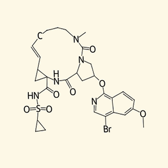 COc1ccc2c(OC3CC4C(=O)NC5(C(=O)NS(=O)(=O)C6CC6)CC5/C=C/CCCCN(C)C(=O)N4C3)ncc(Br)c2c1